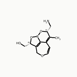 CC1=C2C=COCC3=C2B(O[C@H]3CO)O[C@@H]1CN